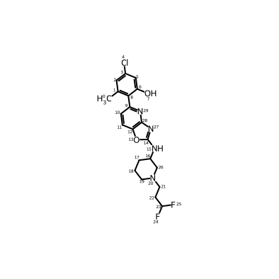 Cc1cc(Cl)cc(O)c1-c1ccc2oc(NC3CCCN(CCC(F)F)C3)nc2n1